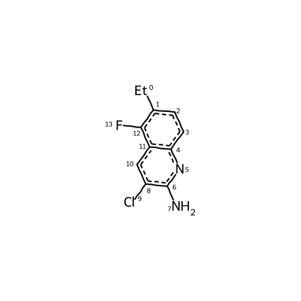 CCc1ccc2nc(N)c(Cl)cc2c1F